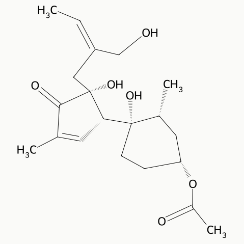 C/C=C(/CO)C[C@]1(O)C(=O)C(C)=C[C@H]1[C@]1(O)CC[C@@H](OC(C)=O)C[C@H]1C